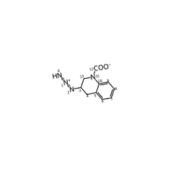 N=[N+]=NC1Cc2ccccc2N(C(=O)[O-])C1